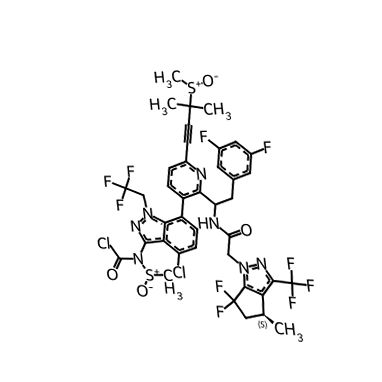 C[C@H]1CC(F)(F)c2c1c(C(F)(F)F)nn2CC(=O)NC(Cc1cc(F)cc(F)c1)c1nc(C#CC(C)(C)[S+](C)[O-])ccc1-c1ccc(Cl)c2c(N(C(=O)Cl)[S+](C)[O-])nn(CC(F)(F)F)c12